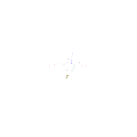 COCCNCCOC.F[S](F)F